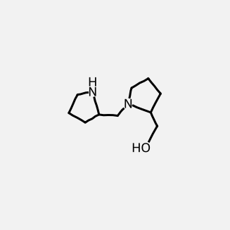 OCC1CCCN1CC1CCCN1